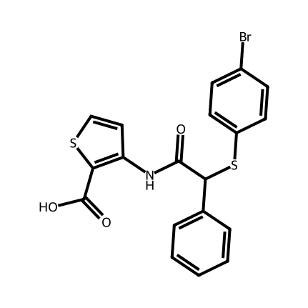 O=C(O)c1sccc1NC(=O)C(Sc1ccc(Br)cc1)c1ccccc1